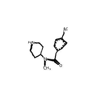 CC(=O)c1ccc(C(=O)N(C)C2CCNCC2)cc1